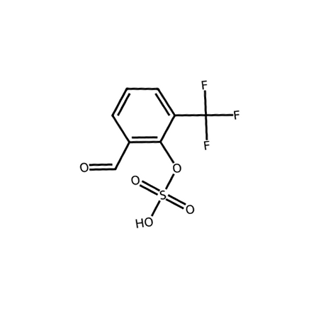 O=Cc1cccc(C(F)(F)F)c1OS(=O)(=O)O